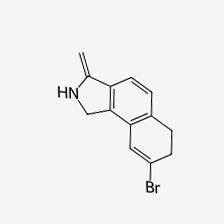 C=C1NCc2c1ccc1c2C=C(Br)CC1